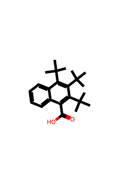 CC(C)(C)c1c(C(C)(C)C)c(C(C)(C)C)c2ccccc2c1C(=O)O